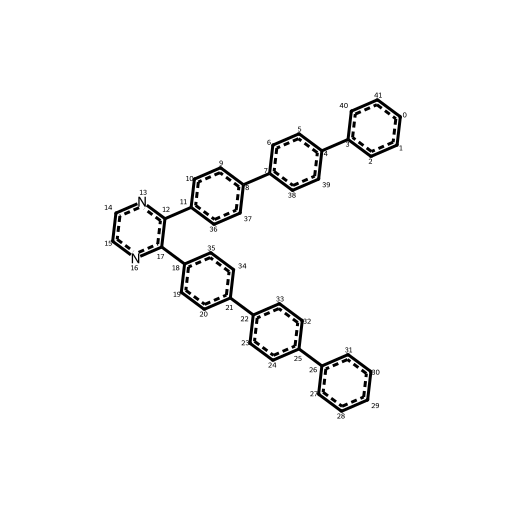 c1ccc(-c2ccc(-c3ccc(-c4nccnc4-c4ccc(-c5ccc(-c6ccccc6)cc5)cc4)cc3)cc2)cc1